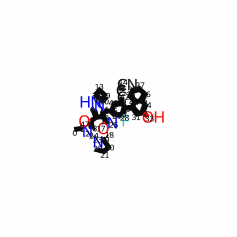 Cc1ncc(-c2cn(C3C4CNC3C4)c3c2c(OC[C@@H]2CCCN2C)nc2c(F)c(-c4cc(O)cc5ccccc45)c(CCC#N)cc23)o1